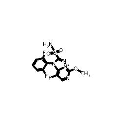 COc1ncc(F)c2n(-c3c(F)cccc3F)c(S(N)(=O)=O)n[n+]12